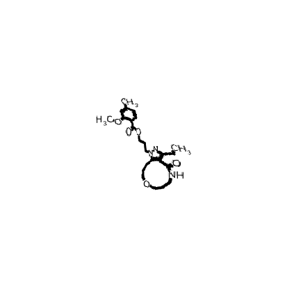 CCc1nn(CCCOC(=O)c2ccc(C)cc2OC)c2c1C(=O)NCCCOCCC2